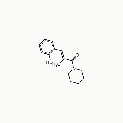 C/C(=C\c1ccccc1O)C(=O)N1CCCCC1